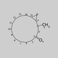 CC1CC(=O)CCCCCCCCCCC2CC12